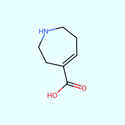 O=C(O)C1=CCCNCC1